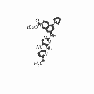 C=Nc1cccc(Nc2nc(Nc3cc4c(c(N5CCCC5)c3)CCN(C(=O)OC(C)(C)C)C4)ncc2C#N)n1